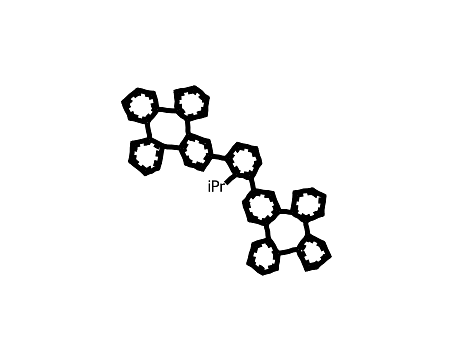 CC(C)c1c(-c2ccc3c(c2)-c2ccccc2-c2ccccc2-c2ccccc2-3)cccc1-c1ccc2c(c1)-c1ccccc1-c1ccccc1-c1ccccc1-2